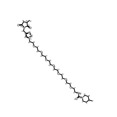 CC1CCN(C(=O)NCCOCCOCCOCCOCCOCCOCCOCCn2cc(CN3C(=O)CC(C)C3=O)nn2)CC1